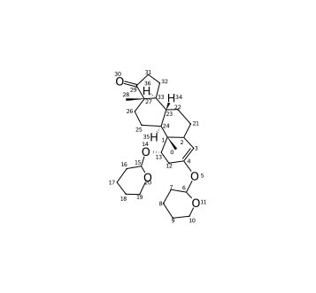 C[C@@]12C(C=C(OC3CCCCO3)C[C@@H]1OC1CCCCO1)CC[C@@H]1[C@@H]2CC[C@]2(C)C(=O)CC[C@@H]12